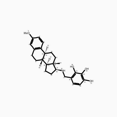 COc1ccc2c(c1)CC[C@@H]1[C@@H]2CC[C@]2(C)[C@@H](NCc3ccc(O)c(O)c3O)CC[C@@H]12